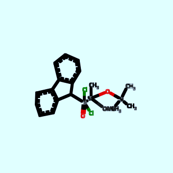 CO[Si](C)(O[Si](C)(C)C)[Ti](=[O])([Cl])([Cl])[CH]1c2ccccc2-c2ccccc21